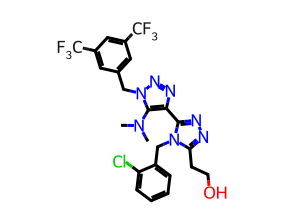 CN(C)c1c(-c2nnc(CCO)n2Cc2ccccc2Cl)nnn1Cc1cc(C(F)(F)F)cc(C(F)(F)F)c1